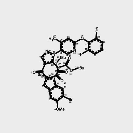 COc1cc2cc(C(=O)c3cnn(-c4cnc(Oc5c(F)cccc5F)cc4C)c3N(C(=O)OC(C)(C)C)C(=O)OC(C)(C)C)n(C(=O)OC(C)(C)C)c2cc1Br